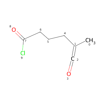 CC(=C=O)CCCC(=O)Cl